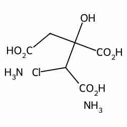 N.N.O=C(O)CC(O)(C(=O)O)C(Cl)C(=O)O